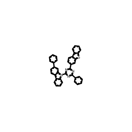 c1ccc(-c2ccc3c4ccccc4n(-c4nc(-c5ccccc5)nc(-c5ccc6c(c5)sc5ccccc56)n4)c3c2)cc1